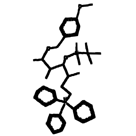 COc1ccc(COC(C)C(C)C(O[Si](C)(C)C(C)(C)C)C(C)CC[PH](c2ccccc2)(c2ccccc2)c2ccccc2)cc1